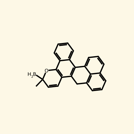 BC1(C)C=Cc2c3c(c4ccccc4c2O1)-c1cccc2cccc(c12)C3